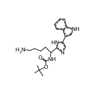 CC(C)(C)OC(=O)NC(CCCCN)c1ncc(-c2c[nH]c3ccccc23)[nH]1